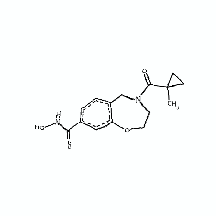 CC1(C(=O)N2CCOc3cc(C(=O)NO)ccc3C2)CC1